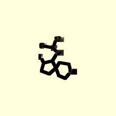 CC(C)(C)[S+]([O-])NC1C(F)CCC12CCNCC2